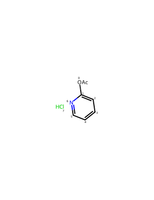 CC(=O)Oc1ccccn1.Cl